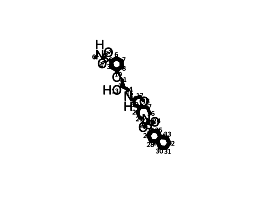 CNS(=O)(=O)c1cccc(OCC(O)CN[C@@H]2COC3(CCN(S(=O)(=O)c4ccc5ccccc5c4)CC3)C2)c1